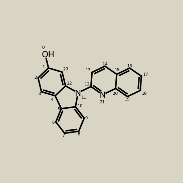 Oc1ccc2c3ccccc3n(-c3ccc4ccccc4n3)c2c1